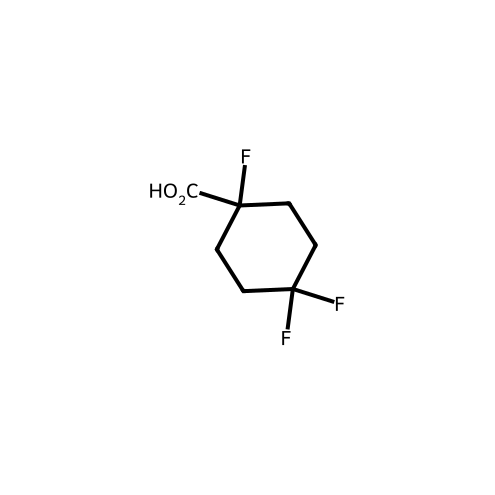 O=C(O)C1(F)CCC(F)(F)CC1